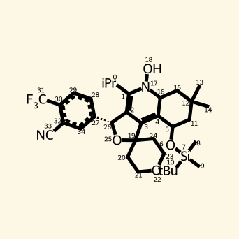 CC(C)C1=C2C(=C3C(O[Si](C)(C)C(C)(C)C)CC(C)(C)CC3N1O)C1(CCOCC1)O[C@@H]2c1ccc(C(F)(F)F)c(C#N)c1